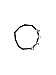 C1CCC[Se][Se][Se][Se]CCC1